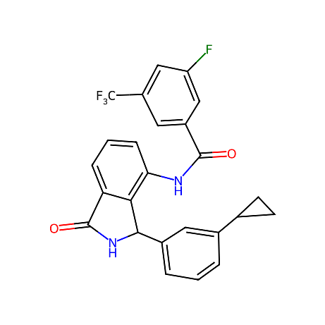 O=C(Nc1cccc2c1C(c1cccc(C3CC3)c1)NC2=O)c1cc(F)cc(C(F)(F)F)c1